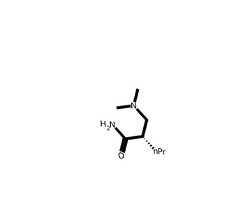 CCC[C@@H](CN(C)C)C(N)=O